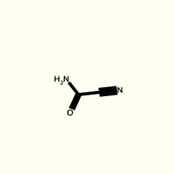 N#CC(N)=O